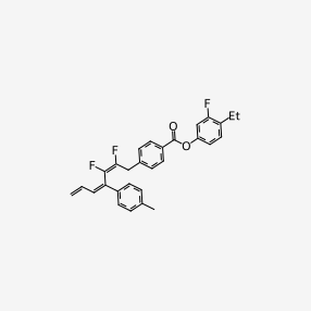 C=C/C=C(\C(F)=C(\F)Cc1ccc(C(=O)Oc2ccc(CC)c(F)c2)cc1)c1ccc(C)cc1